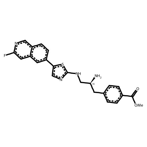 COC(=O)c1ccc(C[C@H](N)CNc2ncc(-c3ccc4cnc(F)cc4c3)s2)cc1